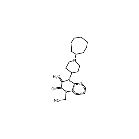 C=C1C(=O)N(CC#N)c2ccccc2N1C1CCN(C2CCCCCCC2)CC1